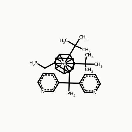 CC(C)(C)[C]12[CH]3[C]4(CP)[C]5(C(P)(c6cccnc6)c6cccnc6)[C]1(C(C)(C)C)[Fe]34251678[CH]2[CH]1[CH]6[CH]7[CH]28